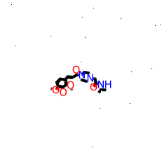 COc1ccc(C=CC(=O)N2CCN(CC(=O)NC(C)C)CC2)c(OC)c1OC